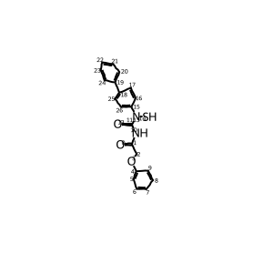 O=C(COc1ccccc1)NC(=O)N(S)c1ccc(-c2ccccc2)cc1